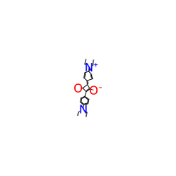 CCN(CC)c1ccc(C2=C([O-])C(=C3C=CC(=[N+](CC)CC)C=C3)C2=O)cc1